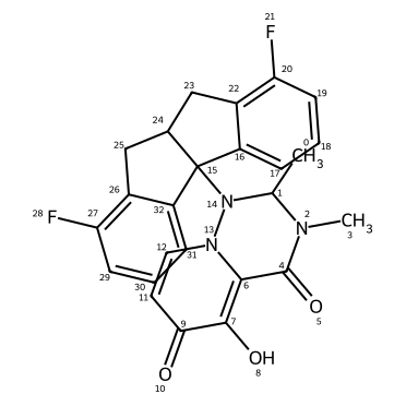 CC1N(C)C(=O)c2c(O)c(=O)ccn2N1C12c3cccc(F)c3CC1Cc1c(F)cccc12